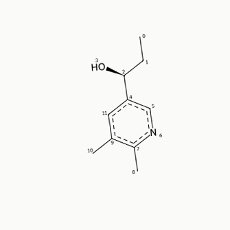 CC[C@H](O)c1cnc(C)c(C)c1